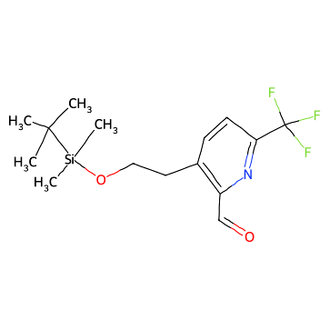 CC(C)(C)[Si](C)(C)OCCc1ccc(C(F)(F)F)nc1C=O